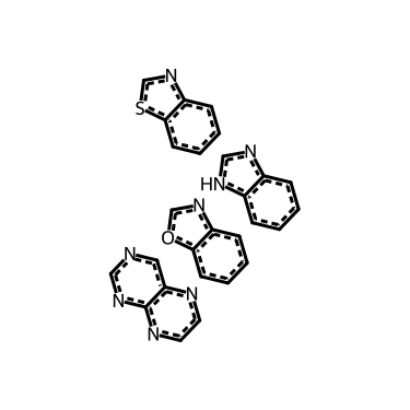 c1ccc2[nH]cnc2c1.c1ccc2ocnc2c1.c1ccc2scnc2c1.c1cnc2ncncc2n1